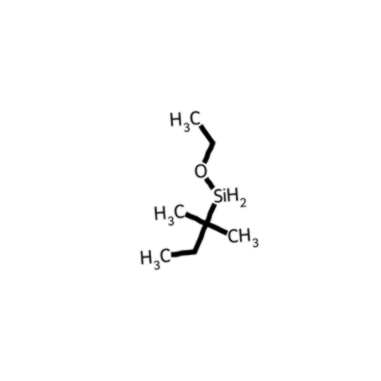 CCO[SiH2]C(C)(C)CC